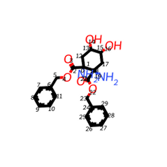 NC1(C(=O)OCc2ccccc2)CC(O)C(O)CC1(N)C(=O)OCc1ccccc1